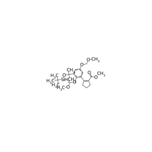 COCOc1cc(C2=C(C(=O)OC)CCC2)c(OCOC)c(C(C)(C)O[SiH2]C(C)(C)C)c1